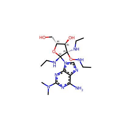 CCNO[C@]1(NCC)[C@H](O)[C@@H](CO)O[C@@]1(NCC)n1cnc2c(N)nc(N(C)C)nc21